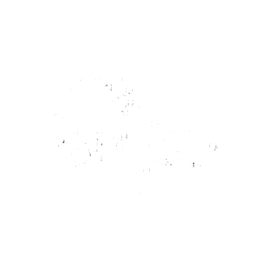 CCOc1cc(O[C@@H]2C[C@H]3C(=O)N[C@]4(C(=O)O)C[C@H]4/C=C\CCCCN(C)C(=O)[C@@H]3C2)c2ccc(OC)c(Br)c2n1